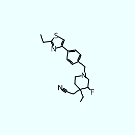 CCc1nc(-c2ccc(CN3CCC(CC)(CC#N)C(F)C3)cc2)cs1